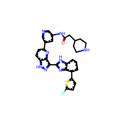 O=C(CC1CCNCC1)Nc1cncc(-c2ccc3[nH]nc(-c4nc5c(-c6ccc(F)s6)cccc5[nH]4)c3n2)c1